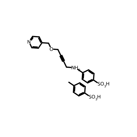 Cc1ccc(S(=O)(=O)O)cc1.Cc1ccc(S(=O)(=O)O)cc1.NCC#CCOCc1ccncc1